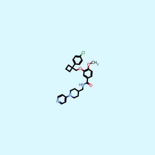 COc1ccc(C(=O)NCC2CCN(c3ccncc3)CC2)cc1OCC1(c2ccc(Cl)cc2)CCC1